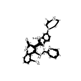 C[C@@H](Nc1c(-c2nc3ccc(N4CCOCC4)cc3[nH]2)c(=O)[nH]c2cccc(Cl)c12)c1ccccn1